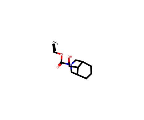 C=COC(=O)N1CC2CCCC(C1)C2CO